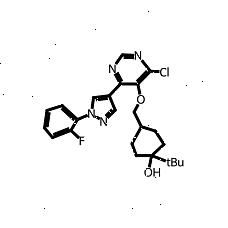 CC(C)(C)C1(O)CCC(COc2c(Cl)ncnc2-c2cnn(-c3ccccc3F)c2)CC1